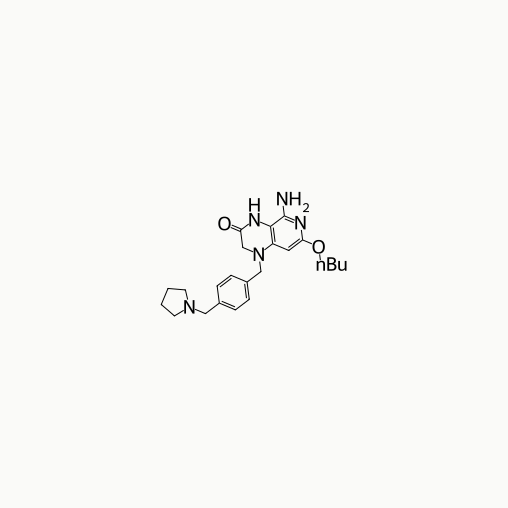 CCCCOc1cc2c(c(N)n1)NC(=O)CN2Cc1ccc(CN2CCCC2)cc1